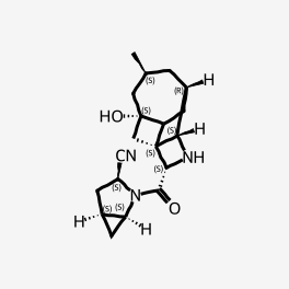 C[C@H]1C[C@@H]2CC3[C@](O)(C1)C[C@]31[C@@H](C(=O)N3[C@H](C#N)C[C@@H]4C[C@@H]43)N[C@@H]21